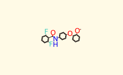 COc1ccccc1Oc1ccc(NC(=O)c2c(F)cccc2F)cc1